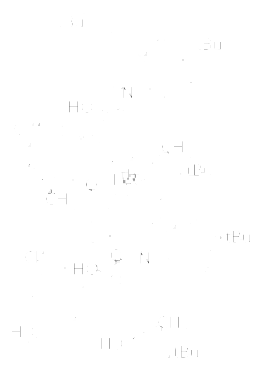 Cc1cc(Cl)cc(C2=CC(C(C)(C)CC(C)(C)C)=CC(n3c4ccc(C(C)(C)C)cc4c4cc(C(C)(C)C)ccc43)C2(O)OCCCOc2c(C)cc(Cl)cc2-c2cc(C(C)(C)CC(C)(C)C)cc(-n3c4ccc(C(C)(C)C)cc4c4cc(C(C)(C)C)ccc43)c2O)c1